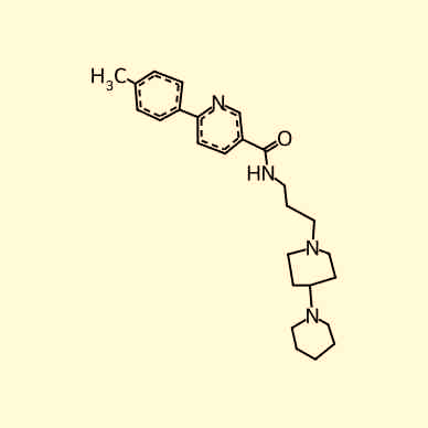 Cc1ccc(-c2ccc(C(=O)NCCCN3CCC(N4CCCCC4)CC3)cn2)cc1